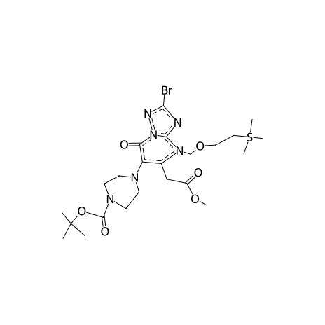 COC(=O)Cc1c(N2CCN(C(=O)OC(C)(C)C)CC2)c(=O)n2nc(Br)nc2n1COCCS(C)(C)C